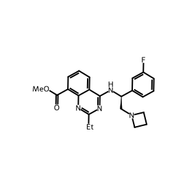 CCc1nc(N[C@H](CN2CCC2)c2cccc(F)c2)c2cccc(C(=O)OC)c2n1